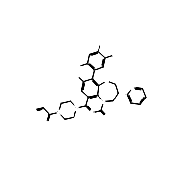 C=CC(=O)N1[C@H](C)CN(c2nc(=O)n3c4c(c(-c5cc(Br)c(F)cc5F)c(C(F)(F)F)cc24)SC[C@H](c2ccccn2)C3)C[C@@H]1C